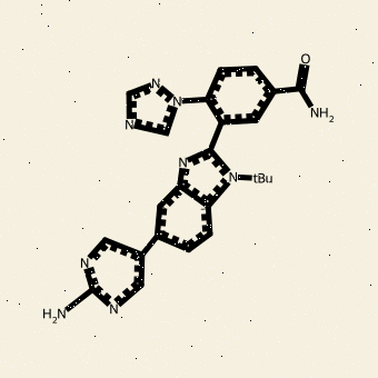 CC(C)(C)n1c(-c2cc(C(N)=O)ccc2-n2cncn2)nc2cc(-c3cnc(N)nc3)ccc21